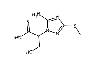 CSc1nc(N)n(C(CO)C([NH])=S)n1